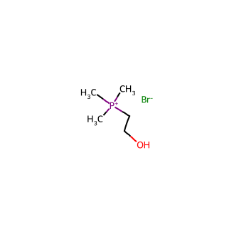 C[P+](C)(C)CCO.[Br-]